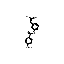 COc1ccc(C(=O)Nc2cccc(/C=C(/C(C)=O)C(C)C)c2)cc1